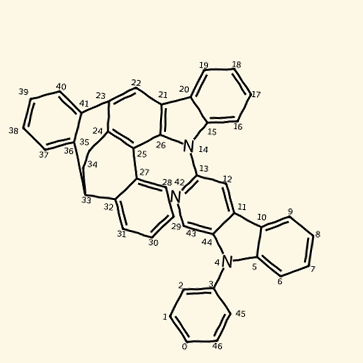 c1ccc(-n2c3ccccc3c3cc(-n4c5ccccc5c5cc6c7c(c54)-c4ccccc4C(CC7)c4ccccc4-6)ncc32)cc1